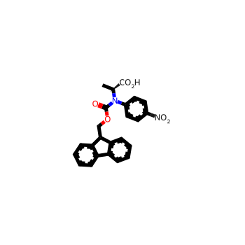 C[C@@H](C(=O)O)N(C(=O)OCC1c2ccccc2-c2ccccc21)c1ccc([N+](=O)[O-])cc1